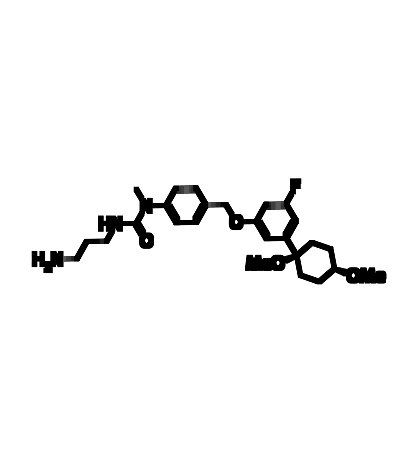 CO[C@H]1CC[C@](OC)(c2cc(F)cc(OCc3ccc(N(C)C(=O)NCCCN)cc3)c2)CC1